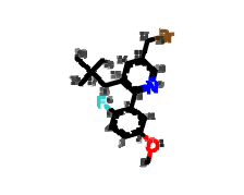 COc1ccc(F)c(-c2ncc(CBr)cc2CC(C)(C)C)c1